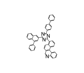 c1ccc(-c2ccc(-c3nc(-c4cc(-c5ccccc5)c5ccccc5c4)nc(-c4cccc5c4ccc4cnc6ccccc6c45)n3)cc2)cc1